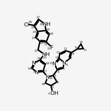 OC1CC(c2cn3cc(C4CC4)ccc3n2)N(c2cc(NCc3cc4c(Cl)c[nH]c4cc3F)ncn2)C1